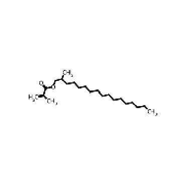 C=C(C)C(=O)OCC(C)CCCCCCCCCCCCCCC